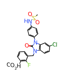 CS(=O)(=O)Nc1ccc(-n2c(=O)n(Cc3cccc(C(=O)O)c3F)c3ccc(Cl)cc32)cc1